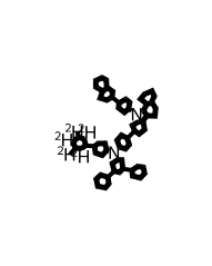 [2H]c1c([2H])c([2H])c(-c2ccc(N(c3ccc(-c4ccc5c6ccc7ccccc7c6n(-c6ccc(-c7ccc8ccccc8c7)cc6)c5c4)cc3)c3cc(-c4ccccc4)cc(-c4ccccc4)c3)cc2)c([2H])c1[2H]